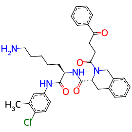 Cc1cc(NC(=O)[C@@H](CCCCCN)NC(=O)[C@H]2Cc3ccccc3CN2C(=O)CCC(=O)c2ccccc2)ccc1Cl